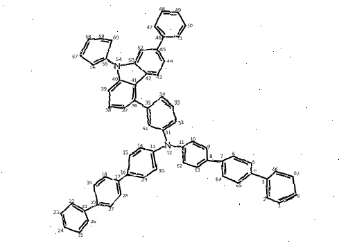 c1ccc(-c2ccc(-c3ccc(N(c4ccc(-c5ccc(-c6ccccc6)cc5)cc4)c4cccc(-c5cccc6c5c5ccc(-c7ccccc7)cc5n6-c5ccccc5)c4)cc3)cc2)cc1